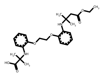 CCOC(=O)CC(C)(C)Nc1ccccc1OCCOc1ccccc1NC(C)(C)C(=O)O